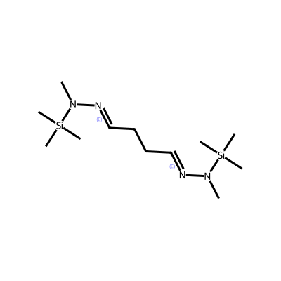 CN(/N=C/CC/C=N/N(C)[Si](C)(C)C)[Si](C)(C)C